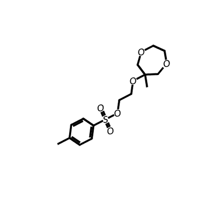 Cc1ccc(S(=O)(=O)OCCOC2(C)COCCOC2)cc1